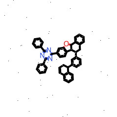 C1=Cc2ccccc2C(c2cccc(C3Cc4ccccc4C4Oc5cc(-c6nc(-c7ccccc7)nc(-c7ccccc7)n6)ccc5C34)c2)C1